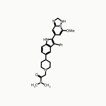 COC1=CC(c2[nH]c3ccc(C4CCN(CC(=O)N(C)C)CC4)cc3c2C(C)C)=CC2=NCNN12